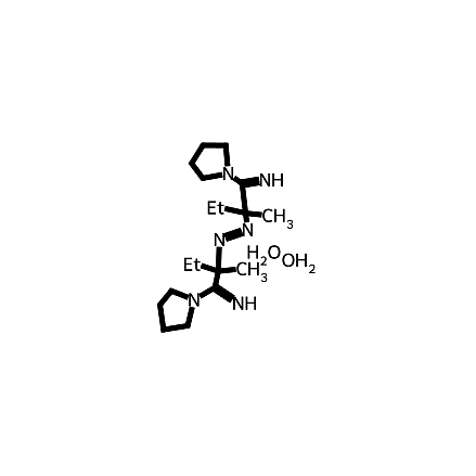 CCC(C)(N=NC(C)(CC)C(=N)N1CCCC1)C(=N)N1CCCC1.O.O